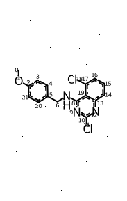 COc1ccc(CNc2nc(Cl)nc3cccc(Cl)c23)cc1